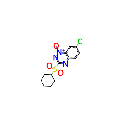 O=S(=O)(c1nc2ccc(Cl)cc2[n+]([O-])n1)C1CCCCC1